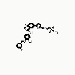 CS(=O)(=O)CC/N=C/c1ccc(-c2ccc3ncnc(Nc4ccc(OCc5cccc(F)c5)c(Cl)c4)c3c2)o1